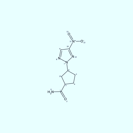 NC(=O)C1CCC(n2ncc([N+](=O)[O-])n2)C1